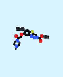 COc1cc2sc(CNC(=O)OC(C)(C)C)nc2cc1OCC(=O)N1CCN(C)CC1